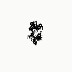 CC1CCN(C(=O)C(CCn2cccc2C#N)NS(=O)(=O)c2ccc(F)cc2C(F)(F)F)CC1.Cc1cccc(Cl)c1S(=O)(=O)NC(CCn1cccc1C#N)C(=O)N1CC[C@H]2CCCC[C@@H]2C1